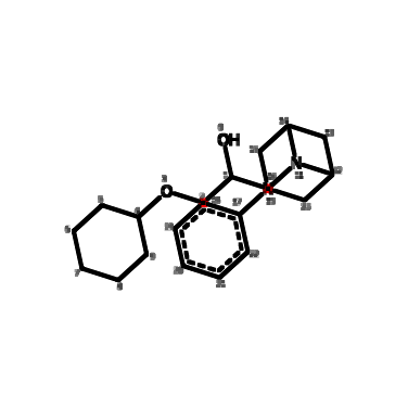 OC(COC1CCCCC1)CN1C2CC1CN(c1ccccc1)C2